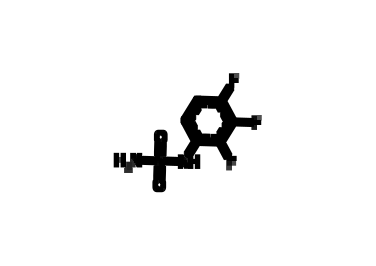 NS(=O)(=O)Nc1ccc(F)c(F)c1F